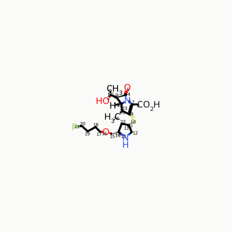 C[C@@H](O)[C@H]1C(=O)N2C(C(=O)O)=C(S[C@@H]3CN[C@H](COCCCCF)C3)[C@H](C)[C@H]12